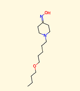 CCCCOCCCCCN1CCC(=NO)CC1